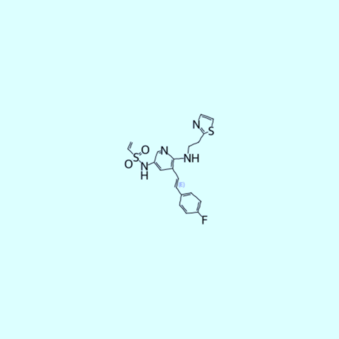 C=CS(=O)(=O)Nc1cnc(NCCc2nccs2)c(/C=C/c2ccc(F)cc2)c1